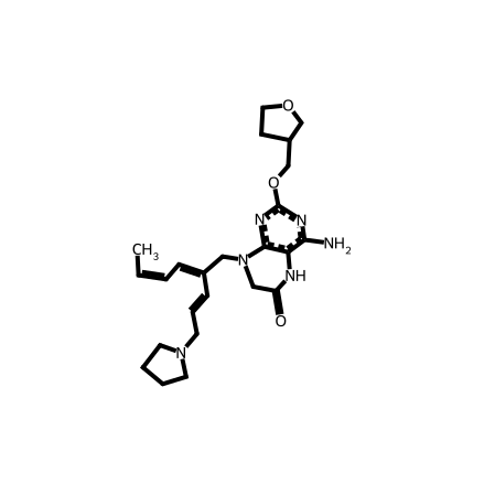 C\C=C/C=C(\C=C\CN1CCCC1)CN1CC(=O)Nc2c(N)nc(OCC3CCOC3)nc21